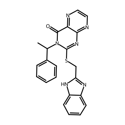 CC(c1ccccc1)n1c(SCc2nc3ccccc3[nH]2)nc2nccnc2c1=O